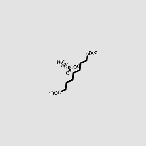 CCCCCCCCCCCCCCCCCC(=O)[O-].O=C([O-])[O-].[Na+].[Na+].[Na+]